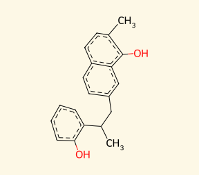 Cc1ccc2ccc(CC(C)c3ccccc3O)cc2c1O